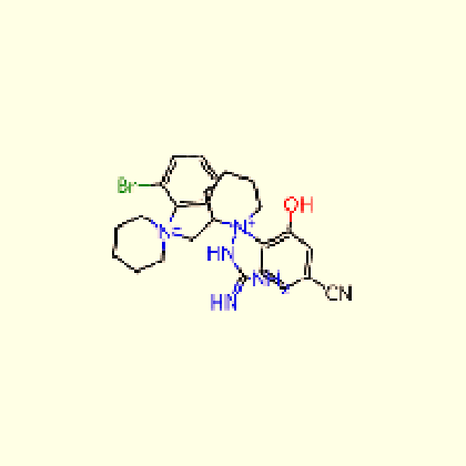 N#Cc1ccc([N+]2(NC(=N)N)CCCCC2C[N+]2(c3ccccc3Br)CCCCC2)c(O)c1